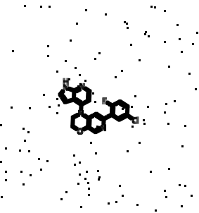 Fc1ccc(Cl)cc1-c1cc2c(cn1)OCCN2c1ccnc2[nH]ccc12